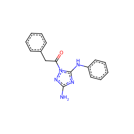 Nc1nc(Nc2ccccc2)n(C(=O)Cc2ccccc2)n1